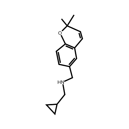 CC1(C)C=Cc2cc(CNCC3CC3)ccc2O1